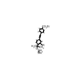 CCOC(=O)c1ccc(C#Cc2ccc(C(C)(C)O[SiH2]C(C)(C)C)c(C(C)C)c2)cc1